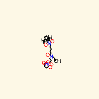 C#CCN(CCC(=O)ON1C(=O)CCC1=O)C(=O)CCCCCN1C(=O)[C@@H]2[C@H](C1=O)[C@H]1C=C[C@@H]2C1